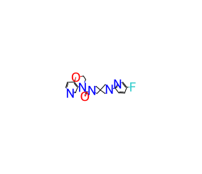 O=C(N1CC2(C1)CN(c1ccc(F)cn1)C2)N1CCOc2ccncc21